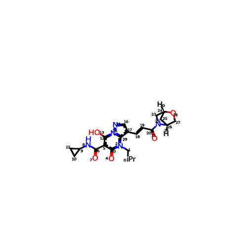 CC(C)Cn1c(=O)c(C(=O)NC2CC2)c(O)n2ncc(/C=C/C(=O)N3C[C@H]4C[C@@H]3CO4)c12